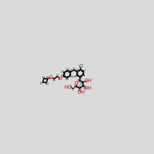 OC[C@H]1OC(c2ccc(Cl)c(Cc3ccc(OCCOC4CCC4)cc3)c2)[C@H](O)[C@@H](O)[C@@H]1O